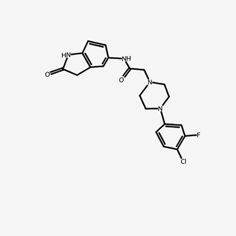 O=C(CN1CCN(c2ccc(Cl)c(F)c2)CC1)Nc1ccc2c(c1)CC(=O)N2